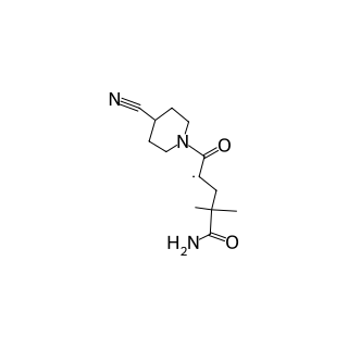 CC(C)(C[CH]C(=O)N1CCC(C#N)CC1)C(N)=O